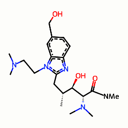 CNC(=O)[C@@H]([C@H](O)[C@H](C)Cc1nc2ccc(CO)cc2n1CCN(C)C)N(C)C